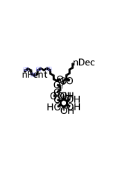 CCCCC/C=C\C/C=C\C/C=C\C/C=C\CCCC(=O)O[C@H](COC(=O)CCCCCCCCCCCCCCC)COP(=O)(O)OC1C(O)C(O)C(O)[C@@H](O)C1O